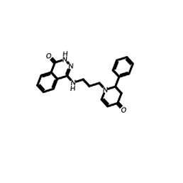 O=C1C=CN(CCCNc2n[nH]c(=O)c3ccccc23)C(c2ccccc2)C1